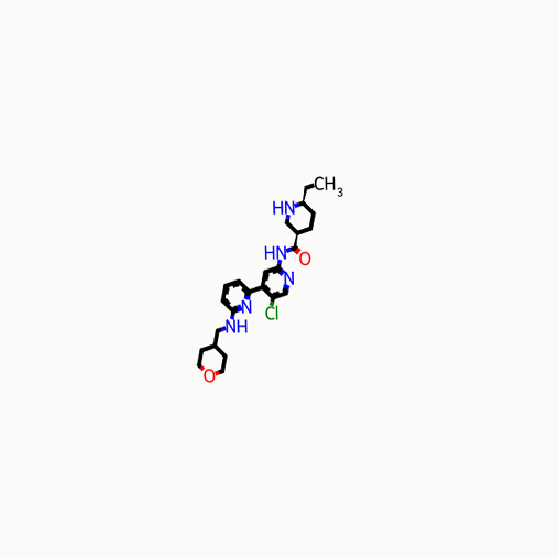 CC[C@H]1CC[C@@H](C(=O)Nc2cc(-c3cccc(NCC4CCOCC4)n3)c(Cl)cn2)CN1